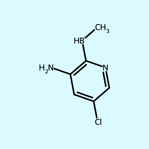 CBc1ncc(Cl)cc1N